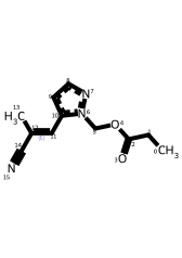 CCC(=O)OCn1nccc1/C=C(\C)C#N